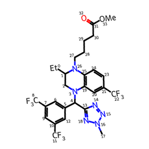 CCC1CN(C(c2cc(C(F)(F)F)cc(C(F)(F)F)c2)c2nnn(C)n2)c2cc(C(F)(F)F)ccc2N1CCCCC(=O)OC